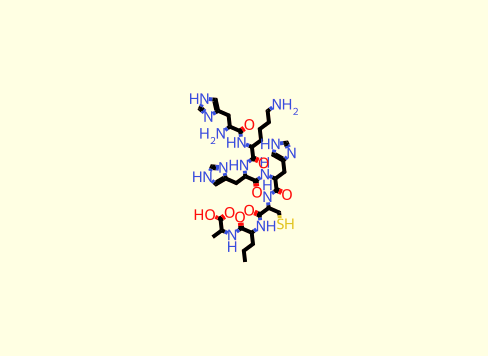 CCCC(NC(=O)C(CS)NC(=O)C(Cc1c[nH]cn1)NC(=O)C(Cc1c[nH]cn1)NC(=O)C(CCCCN)NC(=O)C(N)Cc1c[nH]cn1)C(=O)NC(C)C(=O)O